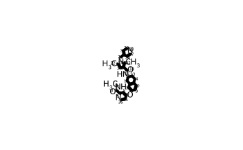 CNC(=O)c1cc(Oc2ccc3c(c2)CC(NC(=O)c2cc(C)n(Cc4ccncc4)c2C)CC3)ccn1